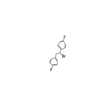 Fc1ccc(CC(Br)c2ccc(F)cc2)cc1